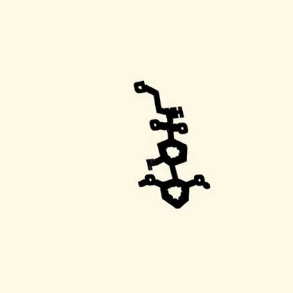 COc1cccc(OC)c1-c1ccc(S(=O)(=O)NCCCl)cc1F